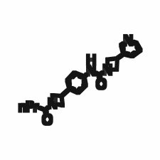 CCCC(=O)N1CC(c2ccc(NC(=O)N3CC(c4cccnc4)C3)cc2)C1